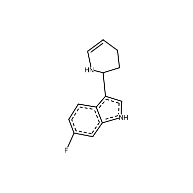 Fc1ccc2c(C3CCC=CN3)c[nH]c2c1